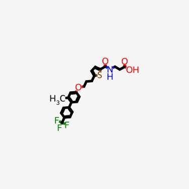 Cc1cc(OCCCc2ccc(C(=O)NCCC(=O)O)s2)ccc1-c1ccc(C(F)(F)F)cc1